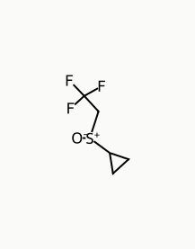 [O-][S+](CC(F)(F)F)C1CC1